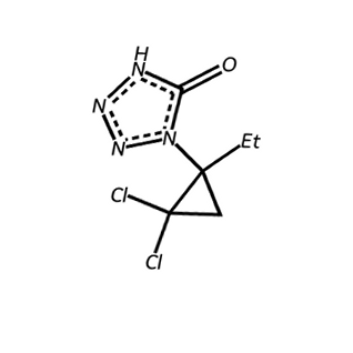 CCC1(n2nn[nH]c2=O)CC1(Cl)Cl